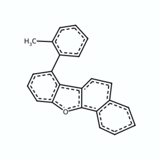 Cc1ccccc1-c1cccc2oc3c4ccccc4ccc3c12